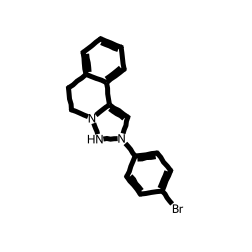 Brc1ccc(N2C=C3c4ccccc4CCN3N2)cc1